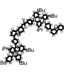 CC(C)c1cc2c3c(c1)N(c1ccc(-c4cccc5c4oc4ccccc45)cc1)c1cc(C(C)(C)C)ccc1B3c1cc(C(C)(C)C)ccc1N2c1ccc(C(C)(C)Cc2ccc3oc4c(-c5ccc(N6c7ccc(C(C)(C)C)cc7B7c8ccc(C(C)(C)C)cc8N(c8ccc(C(C)(C)C)cc8)c8cc(C(C)C)cc6c87)cc5)cccc4c3c2)cc1